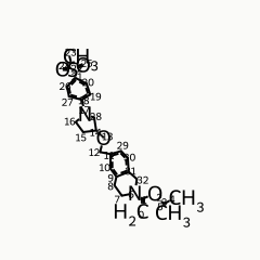 C=C(OC(C)C)N1CCc2cc(CO[C@H]3CCN(c4ccc(S(C)(=O)=O)cc4)C3)ccc2C1